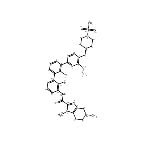 COc1nc(-c2cccc(-c3cccc(NC(=O)c4nc5c(n4C)CCN(C)C5)c3Cl)c2Cl)ccc1CN1CCN(S(C)(=O)=O)CC1